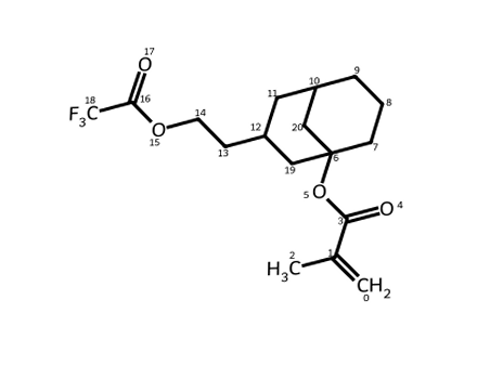 C=C(C)C(=O)OC12CCCC(CC(CCOC(=O)C(F)(F)F)C1)C2